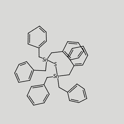 c1ccc([CH2][Sn]([CH2]c2ccccc2)([CH2]c2ccccc2)[S][Sn]([CH2]c2ccccc2)([CH2]c2ccccc2)[CH2]c2ccccc2)cc1